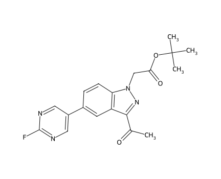 CC(=O)c1nn(CC(=O)OC(C)(C)C)c2ccc(-c3cnc(F)nc3)cc12